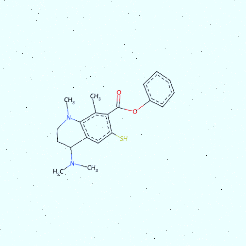 Cc1c(C(=O)Oc2ccccc2)c(S)cc2c1N(C)CCC2N(C)C